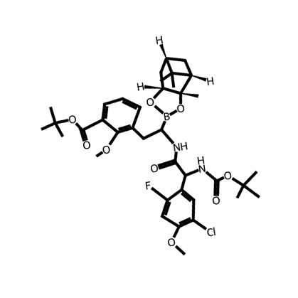 COc1cc(F)c(C(NC(=O)OC(C)(C)C)C(=O)NC(Cc2cccc(C(=O)OC(C)(C)C)c2OC)B2O[C@@H]3C[C@@H]4C[C@@H](C4(C)C)[C@]3(C)O2)cc1Cl